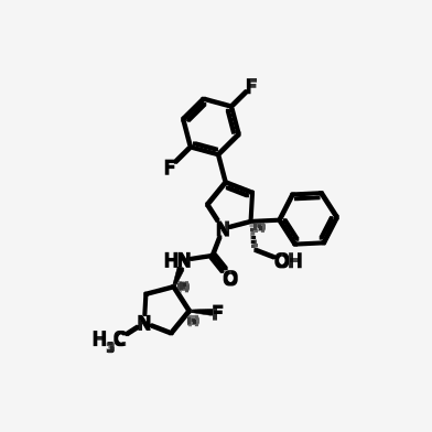 CN1C[C@H](F)[C@H](NC(=O)N2CC(c3cc(F)ccc3F)=C[C@@]2(CO)c2ccccc2)C1